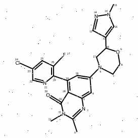 Cc1nc2cc(N3CCOC(c4cnn(C)c4)C3)cc(-c3ncc(Cl)cc3F)c2c(=O)n1C